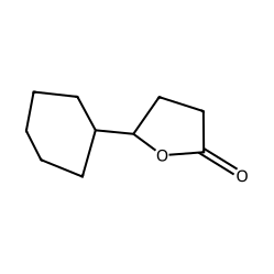 O=C1CCC(C2CCCCC2)O1